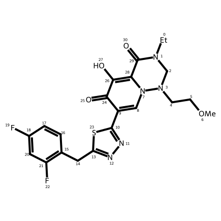 CCN1CN(CCOC)n2cc(-c3nnc(Cc4ccc(F)cc4F)s3)c(=O)c(O)c2C1=O